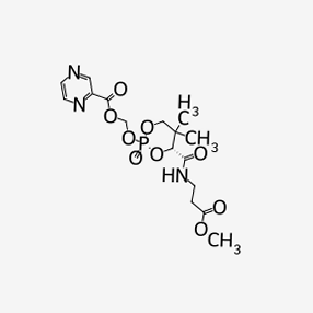 COC(=O)CCNC(=O)[C@@H]1OP(=O)(OCOC(=O)c2cnccn2)OCC1(C)C